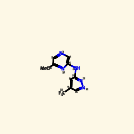 COc1cncc(Nc2cc(C(F)(F)F)cnn2)n1